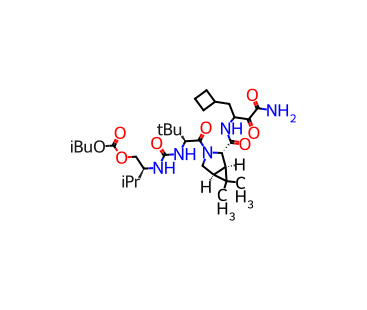 CC(C)COC(=O)OC[C@@H](NC(=O)N[C@H](C(=O)N1C[C@H]2[C@@H]([C@H]1C(=O)NC(CC1CCC1)C(=O)C(N)=O)C2(C)C)C(C)(C)C)C(C)C